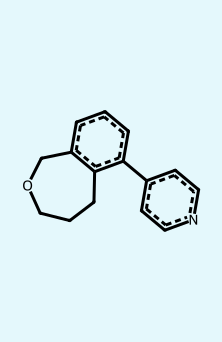 c1cc2c(c(-c3ccncc3)c1)CCCOC2